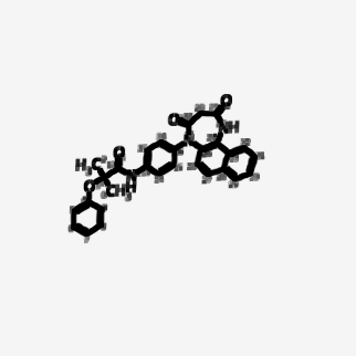 CC(C)(Oc1ccccc1)C(=O)Nc1ccc(N2C(=O)CC(=O)Nc3c2ccc2ccccc32)cc1